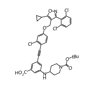 CC(C)(C)OC(=O)N1CCC(Nc2cc(C#Cc3ccc(OCc4c(-c5c(Cl)cccc5Cl)noc4C4CC4)cc3Cl)cc(C(=O)O)c2)CC1